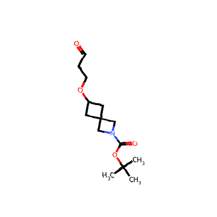 CC(C)(C)OC(=O)N1CC2(CC(OCCC=O)C2)C1